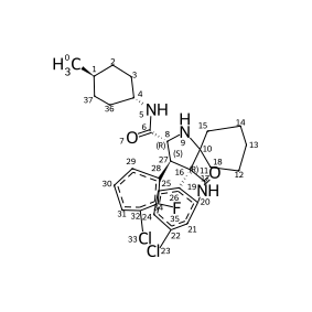 C[C@H]1CC[C@H](NC(=O)[C@@H]2NC3(CCCCC3)[C@@]3(C(=O)Nc4cc(Cl)ccc43)[C@H]2c2cccc(Cl)c2F)CC1